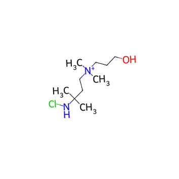 CC(C)(CC[N+](C)(C)CCCO)NCl